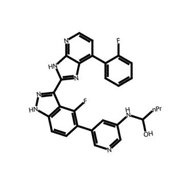 CCCC(O)Nc1cncc(-c2ccc3[nH]nc(-c4nc5c(-c6ccccc6F)ccnc5[nH]4)c3c2F)c1